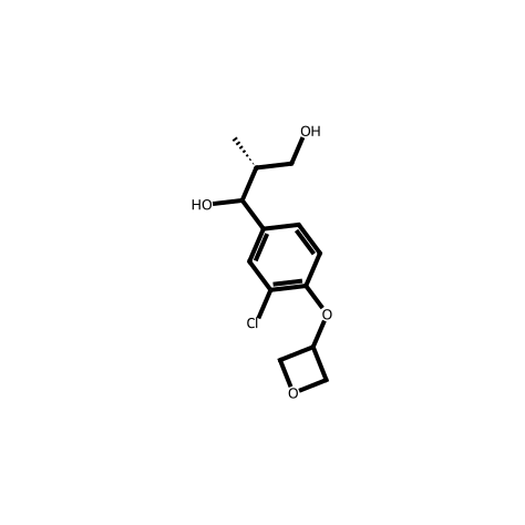 C[C@H](CO)C(O)c1ccc(OC2COC2)c(Cl)c1